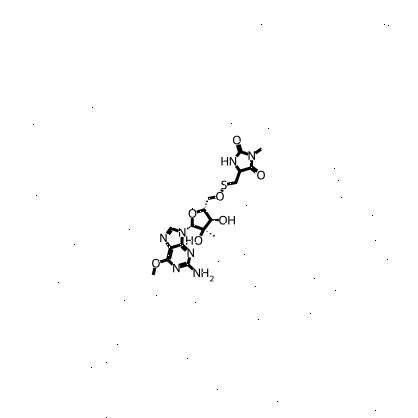 COc1nc(N)nc2c1ncn2[C@@H]1O[C@H](COSCC2NC(=O)N(C)C2=O)[C@@H](O)[C@@]1(C)O